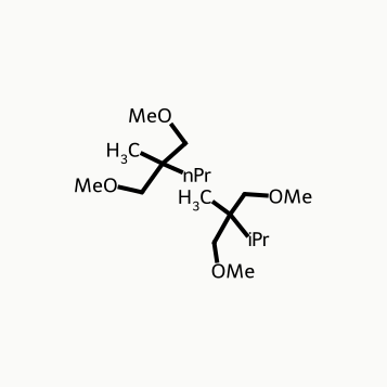 CCCC(C)(COC)COC.COCC(C)(COC)C(C)C